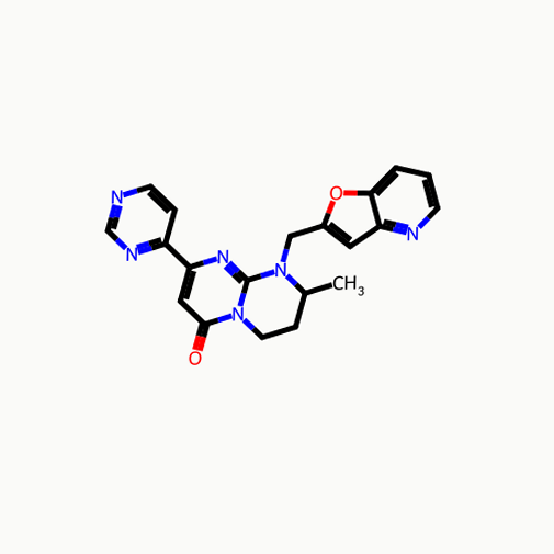 CC1CCn2c(nc(-c3ccncn3)cc2=O)N1Cc1cc2ncccc2o1